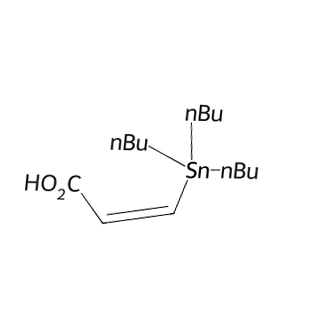 CCC[CH2][Sn](/[CH]=C\C(=O)O)([CH2]CCC)[CH2]CCC